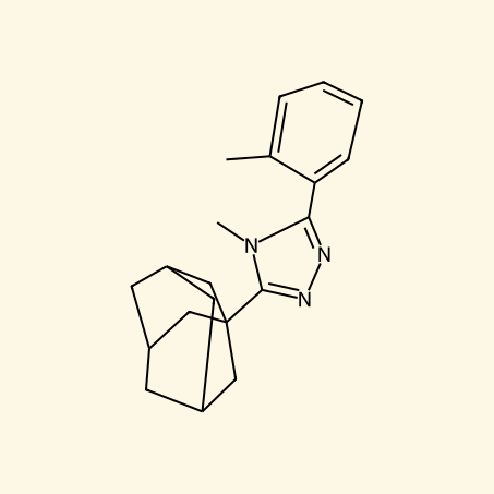 Cc1ccccc1-c1nnc(C23CC4CC(CC(C4)C2)C3)n1C